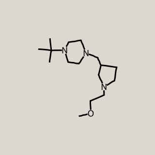 COCCN1CCC(CN2CCN(C(C)(C)C)CC2)C1